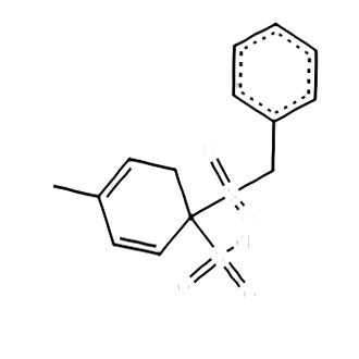 CC1=CCC(S(=O)(=O)Cl)(S(=O)(=O)Cc2ccccc2)C=C1